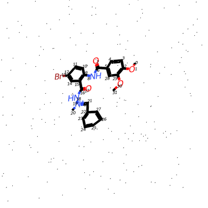 COc1ccc(C(=O)Nc2ccc(Br)cc2C(=O)N[N+](C)=Cc2ccccc2)cc1OC